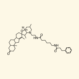 CC1=C2CC3C(CCC4CC(=O)CCC43C)C2CCC12O[C@@H]1CC(C)CN(CCNC(=O)CCCCCNC(=O)CCc3ccccc3)C1C2C